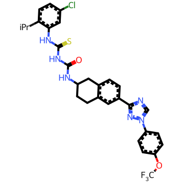 CC(C)c1ccc(Cl)cc1NC(=S)NC(=O)NC1CCc2cc(-c3ncn(-c4ccc(OC(F)(F)F)cc4)n3)ccc2C1